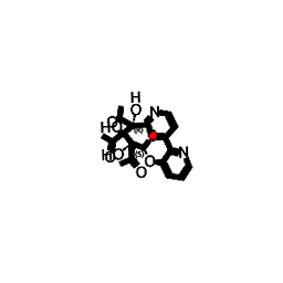 CC(=O)[C@]1(O)[C@@](O)(C(C)=O)CS[C@H](Oc2cccnc2-c2ccncc2)[C@@]1(O)C(C)=O